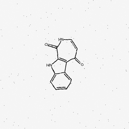 O=c1[nH]ccc(=O)c2c1[nH]c1ccccc12